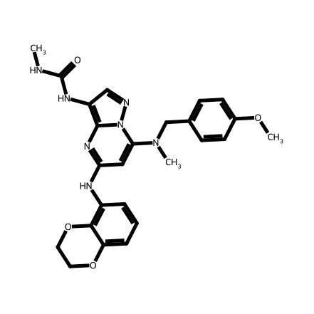 CNC(=O)Nc1cnn2c(N(C)Cc3ccc(OC)cc3)cc(Nc3cccc4c3OCCO4)nc12